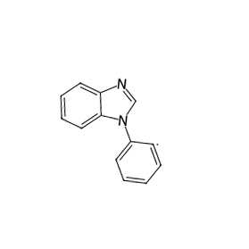 [c]1ccccc1-n1cnc2ccccc21